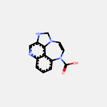 O=C(O)N1C=CN2CNc3cnc4cccc1c4c32